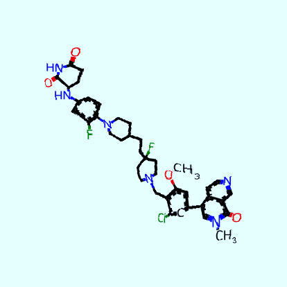 COc1cc(-c2cn(C)c(=O)c3cnccc23)cc(Cl)c1CN1CCC(F)(CCC2CCN(c3ccc(NC4CCC(=O)NC4=O)cc3F)CC2)CC1